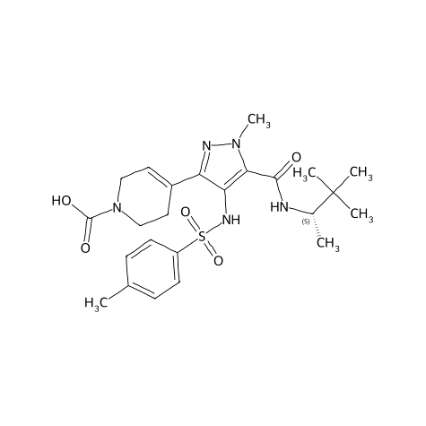 Cc1ccc(S(=O)(=O)Nc2c(C3=CCN(C(=O)O)CC3)nn(C)c2C(=O)N[C@@H](C)C(C)(C)C)cc1